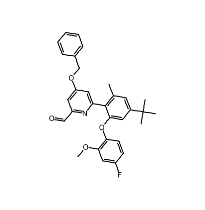 COc1cc(F)ccc1Oc1cc(C(C)(C)C)cc(C)c1-c1cc(OCc2ccccc2)cc(C=O)n1